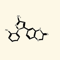 N#CC1=CCCC=C1n1nc(C(F)(F)F)cc1-c1ccc2c(c1)NC(=O)CO2